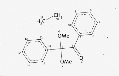 COC(OC)(C(=O)c1ccccc1)c1ccccc1.[CH2]C